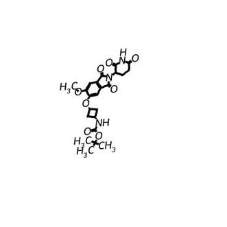 COc1cc2c(cc1O[C@H]1C[C@H](NC(=O)OC(C)(C)C)C1)C(=O)N(C1CCC(=O)NC1=O)C2=O